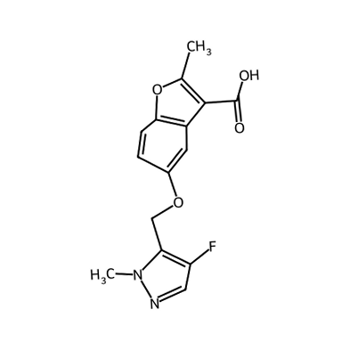 Cc1oc2ccc(OCc3c(F)cnn3C)cc2c1C(=O)O